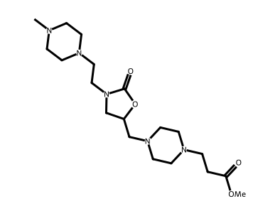 COC(=O)CCN1CCN(CC2CN(CCN3CCN(C)CC3)C(=O)O2)CC1